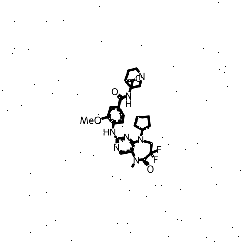 COc1cc(C(=O)NC2CN3CCC2CC3)ccc1Nc1ncc2c(n1)N(C1CCCC1)CC(F)(F)C(=O)N2C